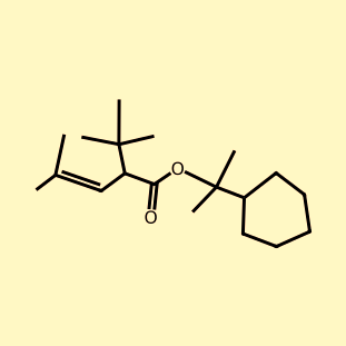 CC(C)=CC(C(=O)OC(C)(C)C1CCCCC1)C(C)(C)C